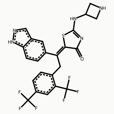 O=C1N=C(NC2CNC2)SC1=C(Cc1ccc(C(F)(F)F)cc1C(F)(F)F)c1ccc2[nH]ncc2c1